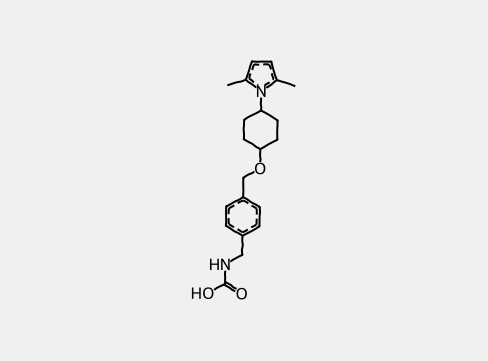 Cc1ccc(C)n1C1CCC(OCc2ccc(CNC(=O)O)cc2)CC1